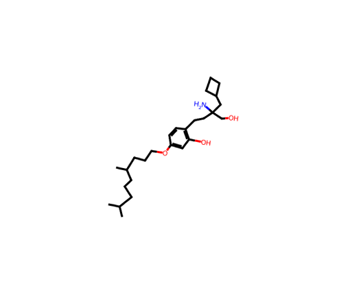 CC(C)CCCC(C)CCCOc1ccc(CCC(N)(CO)CC2CCC2)c(O)c1